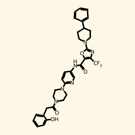 O=C(Nc1ccc(N2CCN(C(=O)Cc3ccccc3O)CC2)nc1)c1oc(N2CCC(c3ccccc3)CC2)nc1C(F)(F)F